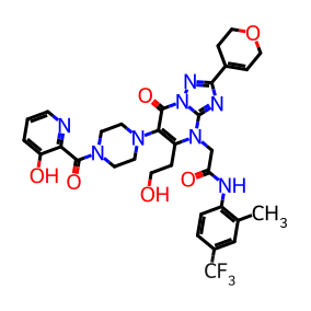 Cc1cc(C(F)(F)F)ccc1NC(=O)Cn1c(CCO)c(N2CCN(C(=O)c3ncccc3O)CC2)c(=O)n2nc(C3=CCOCC3)nc12